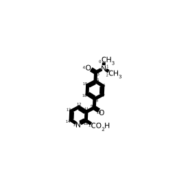 CN(C)C(=O)c1ccc(C(=O)c2cccnc2C(=O)O)cc1